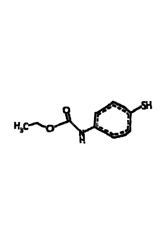 CCOC(=O)Nc1ccc(S)cc1